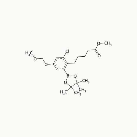 COCOc1cc(Cl)c(CCCCC(=O)OC)c(B2OC(C)(C)C(C)(C)O2)c1